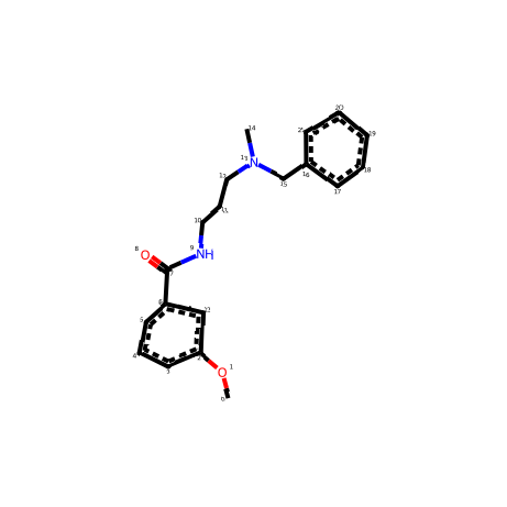 COc1cccc(C(=O)NCCCN(C)Cc2ccccc2)c1